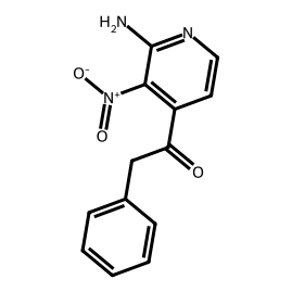 Nc1nccc(C(=O)Cc2ccccc2)c1[N+](=O)[O-]